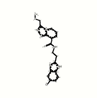 COCc1nnc2c(C(=O)NCCc3nc4cc(Cl)ccc4[nH]3)cccn12